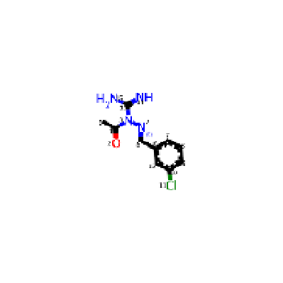 CC(=O)N(/N=C/c1cccc(Cl)c1)C(=N)N